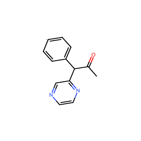 CC(=O)C(c1cc[c]cc1)c1cnccn1